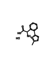 Cc1ccc(-c2ccccc2C(N)C(=O)O)s1.Cl